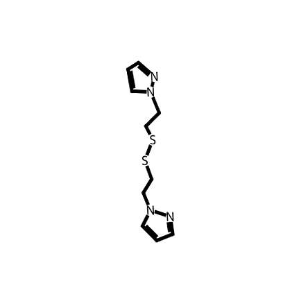 c1cnn(CCSSCCn2cccn2)c1